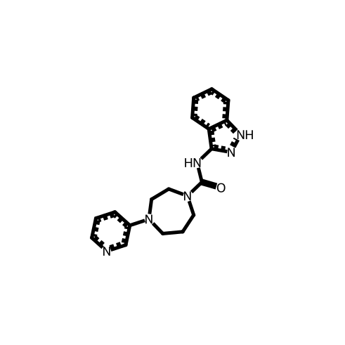 O=C(Nc1n[nH]c2ccccc12)N1CCCN(c2cccnc2)CC1